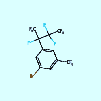 FC(F)(F)c1[c]c(Br)cc(C(F)(C(F)(F)F)C(F)(F)C(F)(F)F)c1